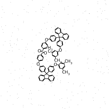 Cc1cc(C)cc(Oc2ccc(C3(c4ccc(Oc5ccc(S(=O)(=O)c6ccc(Oc7ccc(C8(c9ccc(Oc%10cc(C)cc(C)c%10)cc9)c9ccccc9-c9ccccc98)cc7)cc6)cc5)cc4)c4ccccc4-c4ccccc43)cc2)c1